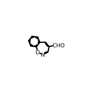 O=CC1=Cc2ccccc2ON=C1